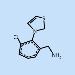 NCc1cccc(Cl)c1N1C=CSC1